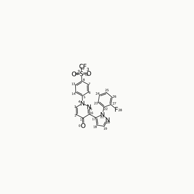 O=c1ccn(-c2ccc(S(=O)(=O)C(F)(F)F)cc2)nc1-c1ccnn1-c1ccccc1F